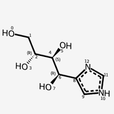 OC[C@@H](O)[C@@H](O)[C@H](O)c1c[nH]cn1